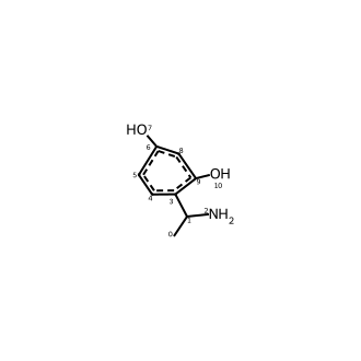 CC(N)c1ccc(O)cc1O